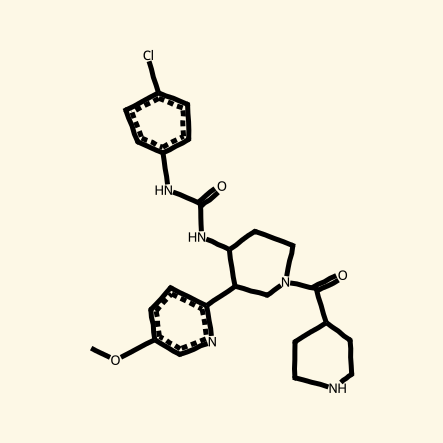 COc1ccc(C2CN(C(=O)C3CCNCC3)CCC2NC(=O)Nc2ccc(Cl)cc2)nc1